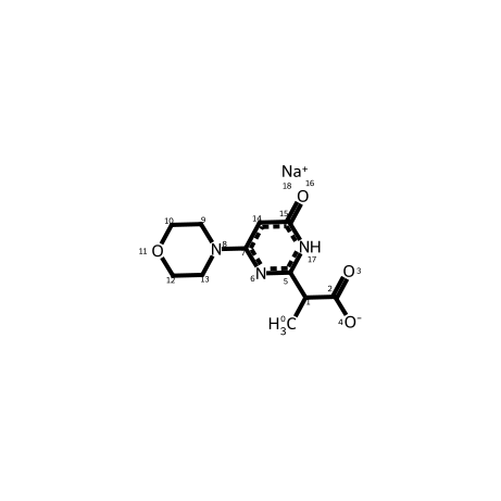 CC(C(=O)[O-])c1nc(N2CCOCC2)cc(=O)[nH]1.[Na+]